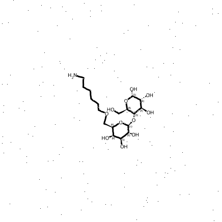 NCCCCCCOC[C@H]1O[C@@H](O[C@H]2[C@H](O)[C@@H](O)[C@@H](O)O[C@@H]2CO)[C@H](O)[C@@H](O)[C@H]1O